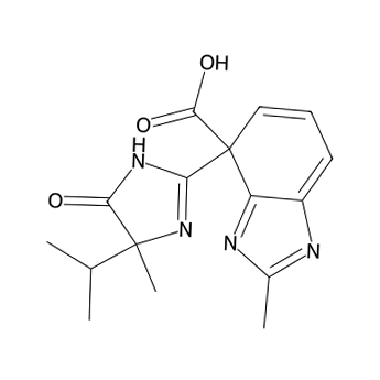 CC1=NC2=CC=CC(C(=O)O)(C3=NC(C)(C(C)C)C(=O)N3)C2=N1